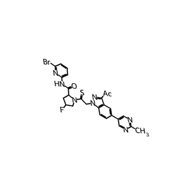 CC(=O)c1nn(CC(=S)N2CC(F)CC2C(=O)Nc2cccc(Br)n2)c2ccc(-c3cnc(C)nc3)cc12